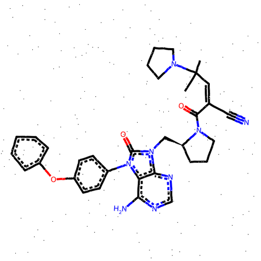 CC(C)(/C=C(/C#N)C(=O)N1CCC[C@H]1Cn1c(=O)n(-c2ccc(Oc3ccccc3)cc2)c2c(N)ncnc21)N1CCCC1